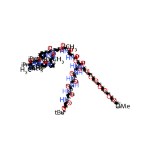 CC[C@H](C)[C@@H]([C@@H](CC(=O)N1CCC[C@H]1[C@H](OC)[C@@H](C)C(=O)N[C@@H](Cc1ccccc1)C(=O)NCCCOC(=O)C(C)NC(=O)CCNC(=O)OCC(NC(=O)CNC(=O)CNC(=O)CNC(=O)CNC(=O)CCNC(=O)CCOCC(C)(C)C)C(=O)NCCOCCOCCOCCOCCOCCOCCOCCOC)OC)N(C)C(=O)[C@@H](NC(=O)[C@H](C(C)C)N(C)C)C(C)C